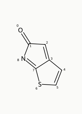 O=C1C=c2ccsc2=N1